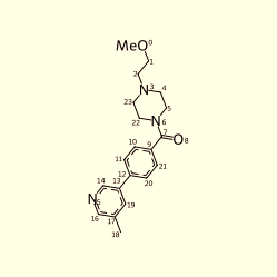 COCCN1CCN(C(=O)c2ccc(-c3cncc(C)c3)cc2)CC1